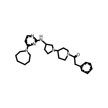 O=C(Cc1ccccc1)N1CCC(N2CCC(Nc3nccc(N4CCCCCC4)n3)C2)CC1